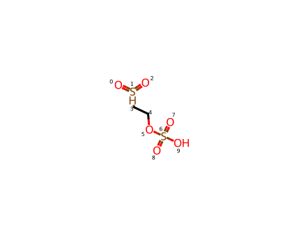 O=[SH](=O)CCOS(=O)(=O)O